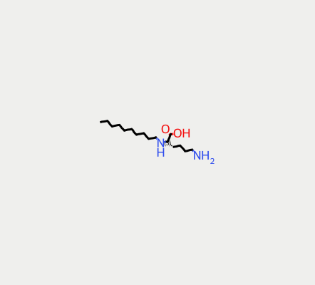 CCCCCCCCCCN[C@@H](CCCCN)C(=O)O